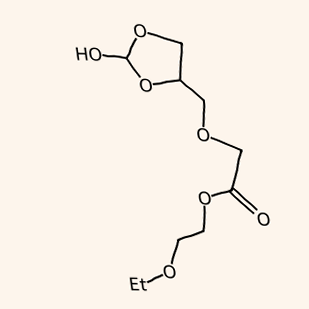 CCOCCOC(=O)COCC1COC(O)O1